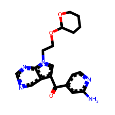 Nc1cc(C(=O)c2cn(CCOC3CCCCO3)c3ncncc23)ccn1